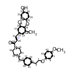 COc1ccc(OCCc2ccc(CN3CCN(C(=O)/C=C/c4cc(C)c(Oc5ccc(O)cn5)c(Cl)c4)CC3)cc2)cc1